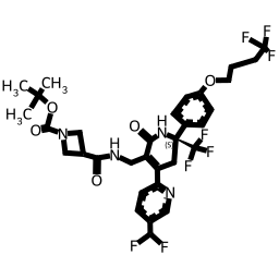 CC(C)(C)OC(=O)N1CC(C(=O)NCC2=C(c3ccc(C(F)F)cn3)C[C@](c3ccc(OCCCC(F)(F)F)cc3)(C(F)(F)F)NC2=O)C1